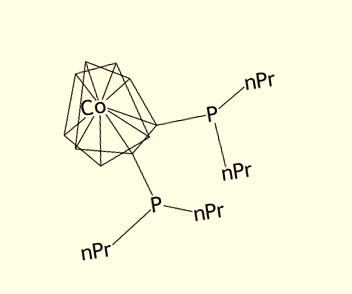 CCCP(CCC)[C]12[CH]3[CH]4[CH]5[C]1(P(CCC)CCC)[Co]43521678[CH]2[CH]1[CH]6[CH]7[CH]28